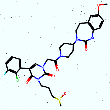 COc1ccc2c(c1)CCN(C1CCN(C(=O)Cn3cc(-c4cccc(F)c4Cl)c(=O)n(CCC[S+](C)[O-])c3=O)CC1)C(=O)N2